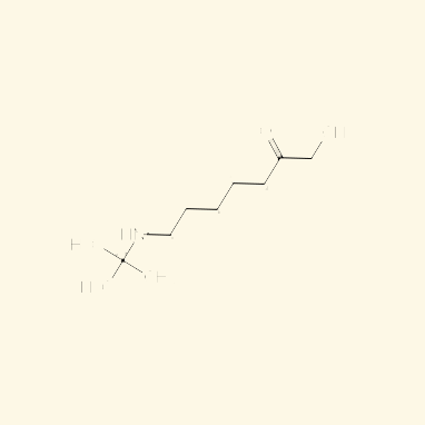 CCC(=O)CCCCCNC(C)(C)C